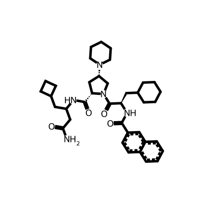 NC(=O)CC(CC1CCC1)NC(=O)[C@@H]1C[C@H](N2CCCCC2)CN1C(=O)[C@@H](CC1CCCCC1)NC(=O)c1ccc2ccccc2c1